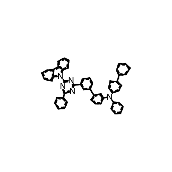 c1ccc(-c2ccc(N(c3ccccc3)c3cccc(-c4cccc(-c5nc(-c6ccccc6)nc(-n6c7ccccc7c7ccccc76)n5)c4)c3)cc2)cc1